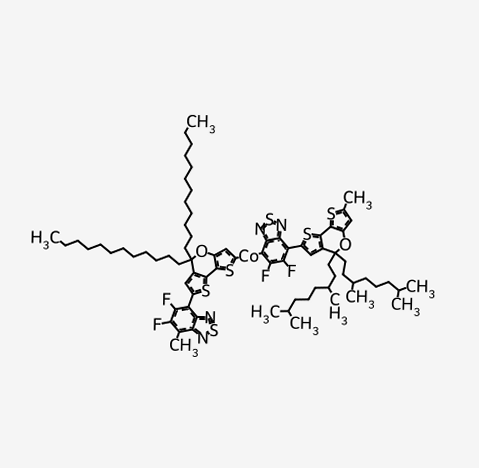 CCCCCCCCCCCCC1(CCCCCCCCCCCC)Oc2c[c]([Co][c]3c(F)c(F)c(-c4cc5c(s4)-c4sc(C)cc4OC5(CCC(C)CCCC(C)C)CCC(C)CCCC(C)C)c4nsnc34)sc2-c2sc(-c3c(F)c(F)c(C)c4nsnc34)cc21